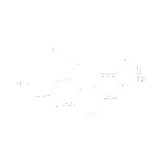 COc1cc(/C=C\c2ccc3cc[nH]c3c2)cc(CO)c1